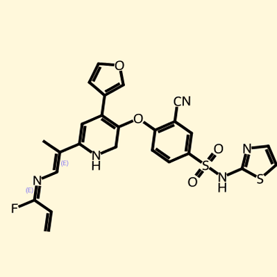 C=C/C(F)=N\C=C(/C)C1=CC(c2ccoc2)=C(Oc2ccc(S(=O)(=O)Nc3nccs3)cc2C#N)CN1